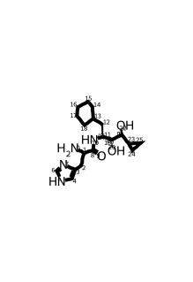 NC(Cc1c[nH]cn1)C(=O)N[C@@H](CC1CCCCC1)[C@@H](O)[C@@H](O)C1CC1